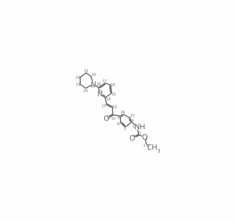 CCOC(=O)Nc1ccc(C(=O)C=Cc2cccc(N3CCCCC3)n2)cc1